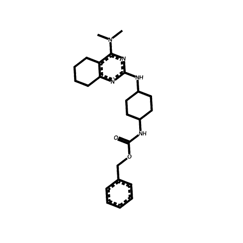 CN(C)c1nc(NC2CCC(NC(=O)OCc3ccccc3)CC2)nc2c1CCCC2